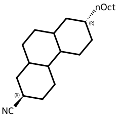 CCCCCCCC[C@@H]1CCC2C(CCC3C[C@H](C#N)CCC32)C1